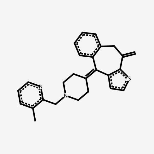 C=C1Cc2ccccc2C(=C2CCN(Cc3ncccc3C)CC2)c2ccsc21